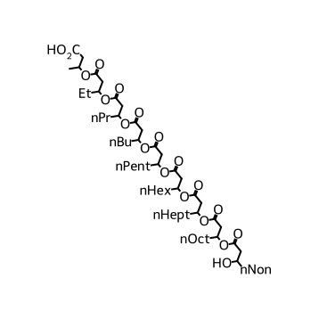 CCCCCCCCCC(O)CC(=O)OC(CCCCCCCC)CC(=O)OC(CCCCCCC)CC(=O)OC(CCCCCC)CC(=O)OC(CCCCC)CC(=O)OC(CCCC)CC(=O)OC(CCC)CC(=O)OC(CC)CC(=O)OC(C)CC(=O)O